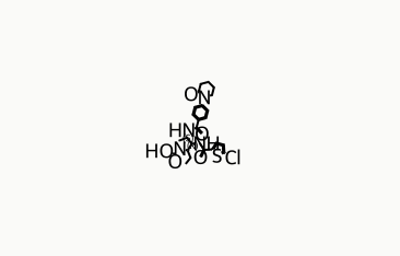 CCC1[C@H](NC(=O)c2ccc(Cl)s2)[C@@H](NC(=O)c2ccc(N3CCCCC3=O)cc2)CN1C(=O)O